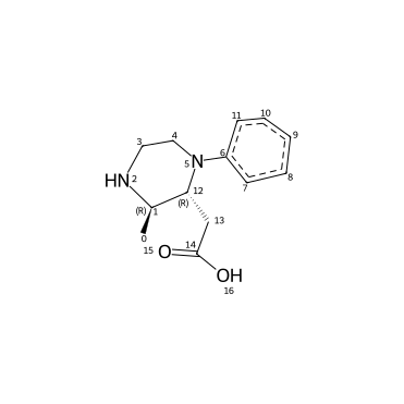 C[C@H]1NCCN(c2ccccc2)[C@@H]1CC(=O)O